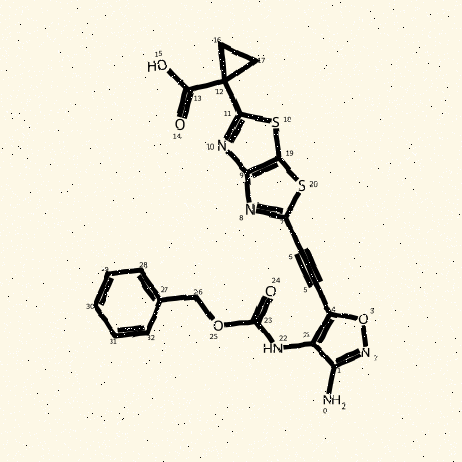 Nc1noc(C#Cc2nc3nc(C4(C(=O)O)CC4)sc3s2)c1NC(=O)OCc1ccccc1